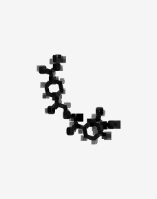 CC(C)(C)OC(=O)N1CCN(C(=O)CONC(=O)[C@@H]2CC[C@@H]3CN2C(=O)N3O)CC1